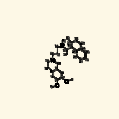 COc1cc2c(cc1OC)CN(CCCN(C)C(C)c1c(C)ccc3ccccc13)CC2